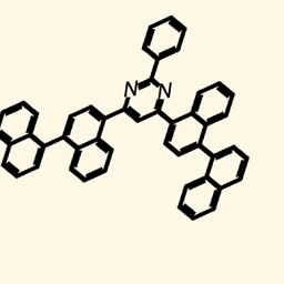 c1ccc(-c2nc(-c3ccc(-c4cccc5ccccc45)c4ccccc34)cc(-c3ccc(-c4cccc5ccccc45)c4ccccc34)n2)cc1